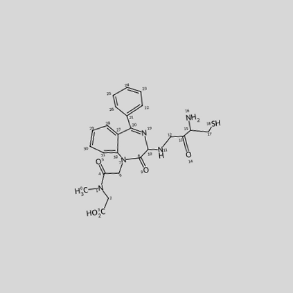 CN(CC(=O)O)C(=O)CN1C(=O)C(NCC(=O)C(N)CS)N=C(c2ccccc2)c2ccccc21